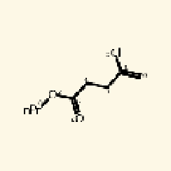 C=C(Cl)CCC(=O)OCCC